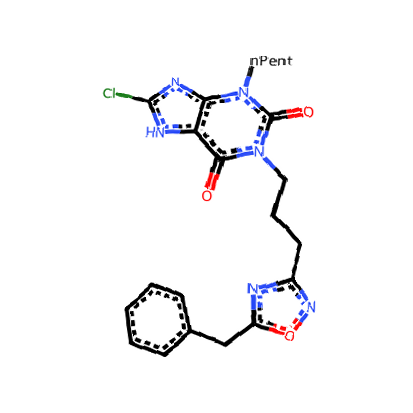 CCCCCn1c(=O)n(CCCc2noc(Cc3ccccc3)n2)c(=O)c2[nH]c(Cl)nc21